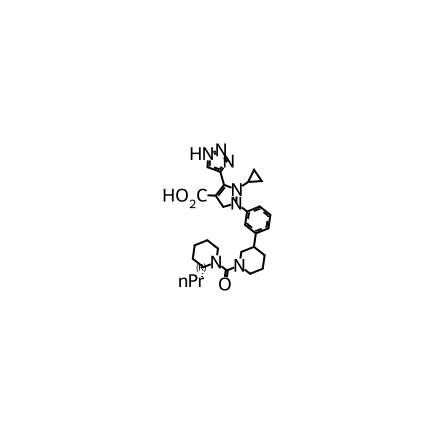 CCC[C@@H]1CCCCN1C(=O)N1CCCC(c2cccc(N3CC(C(=O)O)=C(c4c[nH]nn4)N3C3CC3)c2)C1